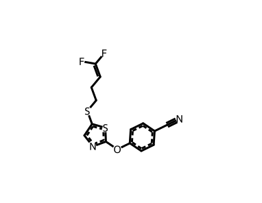 N#Cc1ccc(Oc2ncc(SCCC=C(F)F)s2)cc1